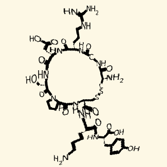 N=C(N)NCCC[C@@H]1NC(=O)CNC(=O)[C@H](N)CSSC[C@@H](C(=O)N[C@@H](CCCCN)C(=O)N[C@@H](Cc2ccc(O)cc2)C(=O)O)NC(=O)[C@@H]2CCCN2C(=O)[C@H](CO)NC(=O)[C@H](CC(=O)O)NC1=O